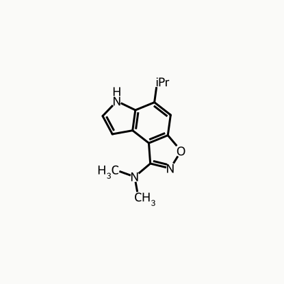 CC(C)c1cc2onc(N(C)C)c2c2cc[nH]c12